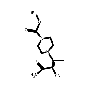 C/C(=C(\C#N)C(N)=S)N1CCN(C(=O)OC(C)(C)C)CC1